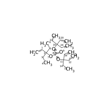 C=CC(CC)(CC)OP(=O)(OC(C=C)(CC)CC)OC(C=C)(CC)CC